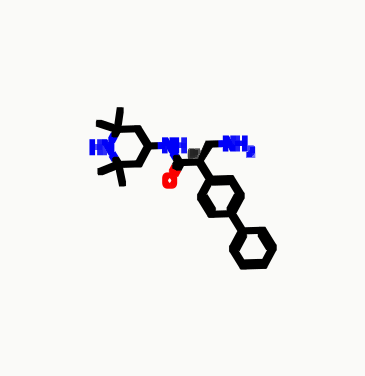 CC1(C)CC(NC(=O)[C@@H](CN)c2ccc(-c3ccccc3)cc2)CC(C)(C)N1